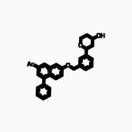 CC(=O)c1cc(-c2ccccc2)c2ccc(OCc3cccc(C4CC(O)CCO4)c3)cc2c1